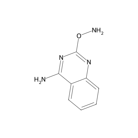 NOc1nc(N)c2ccccc2n1